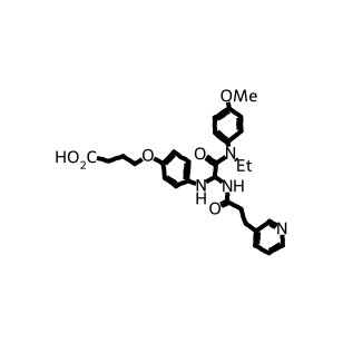 CCN(C(=O)C(NC(=O)CCc1cccnc1)Nc1ccc(OCCCC(=O)O)cc1)c1ccc(OC)cc1